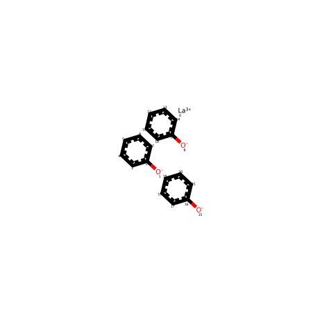 [La+3].[O-]c1ccccc1.[O-]c1ccccc1.[O-]c1ccccc1